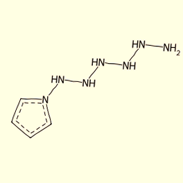 NNNNNNn1cccc1